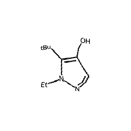 CCn1ncc(O)c1C(C)(C)C